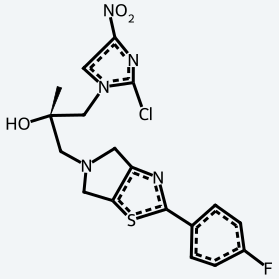 C[C@](O)(CN1Cc2nc(-c3ccc(F)cc3)sc2C1)Cn1cc([N+](=O)[O-])nc1Cl